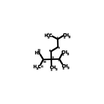 CC(C)CCC(C)(C(C)C)C(C)S